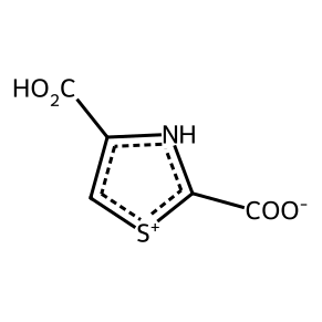 O=C(O)c1c[s+]c(C(=O)[O-])[nH]1